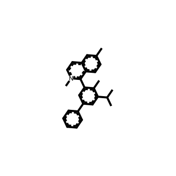 Cc1ccc2c(-c3cc(-c4ccccc4)cc(C(C)C)c3C)[n+](C)ccc2c1